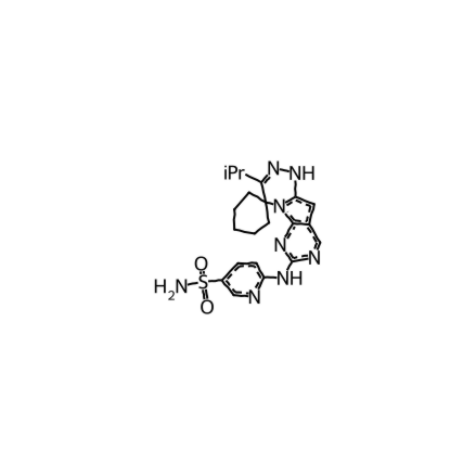 CC(C)C1=NNc2cc3cnc(Nc4ccc(S(N)(=O)=O)cn4)nc3n2C12CCCCC2